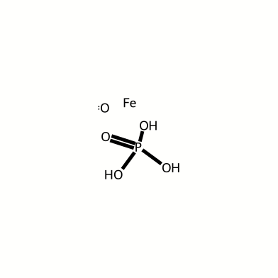 O=P(O)(O)O.[Fe].[O]